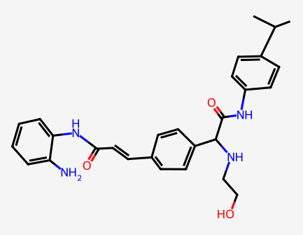 CC(C)c1ccc(NC(=O)C(NCCO)c2ccc(C=CC(=O)Nc3ccccc3N)cc2)cc1